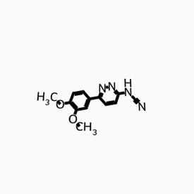 COc1ccc(-c2ccc(NC#N)nn2)cc1OC